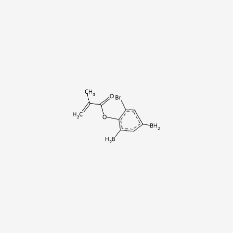 Bc1cc(B)c(OC(=O)C(=C)C)c(Br)c1